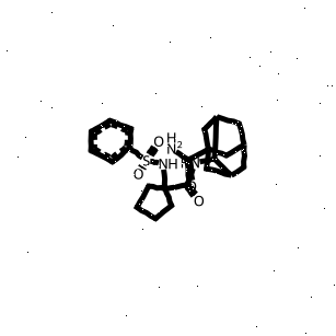 NC(=O)C12CC3CC(C1)C(NC(=O)C1(NS(=O)(=O)c4ccccc4)CCCC1)C(C3)C2